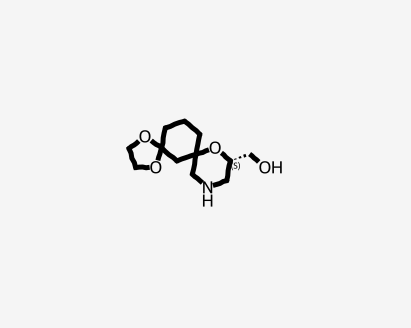 OC[C@@H]1CNCC2(CCCC3(C2)OCCO3)O1